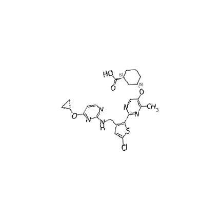 Cc1nc(-c2sc(Cl)cc2CNc2nccc(OC3CC3)n2)ncc1O[C@H]1CCC[C@H](C(=O)O)C1